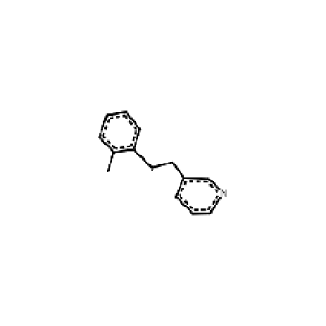 Cc1ccccc1[CH]Cc1cccnc1